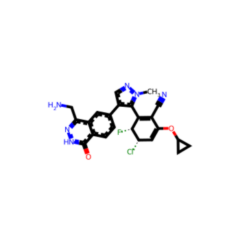 Cn1ncc(-c2ccc3c(=O)[nH]nc(CN)c3c2)c1C1=C(C#N)C(OC2CC2)=C[C@H](Cl)[C@@H]1F